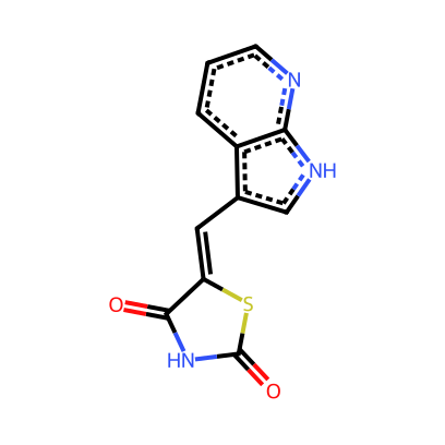 O=C1NC(=O)/C(=C/c2c[nH]c3ncccc23)S1